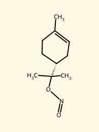 CC1=CC[C@H](C(C)(C)ON=O)CC1